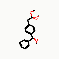 COC(Cc1ccc(C(OC)c2ccccc2)cc1)OC